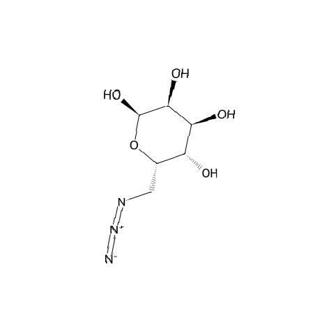 [N-]=[N+]=NC[C@@H]1O[C@@H](O)[C@@H](O)[C@@H](O)[C@@H]1O